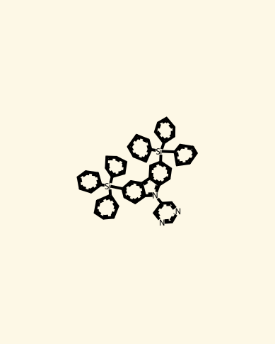 c1ccc([Si](c2ccccc2)(c2ccccc2)c2ccc3c(c2)c2cc([Si](c4ccccc4)(c4ccccc4)c4ccccc4)ccc2n3-c2cncnc2)cc1